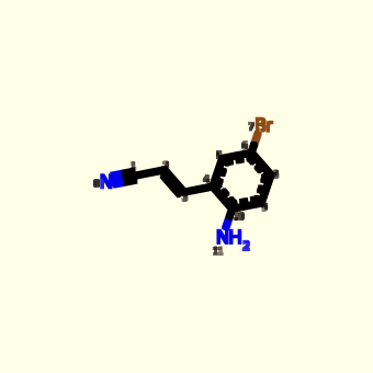 N#CC=Cc1cc(Br)ccc1N